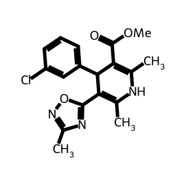 COC(=O)C1=C(C)NC(C)=C(c2nc(C)no2)C1c1cccc(Cl)c1